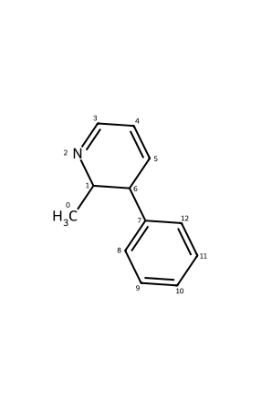 CC1N=CC=CC1c1ccccc1